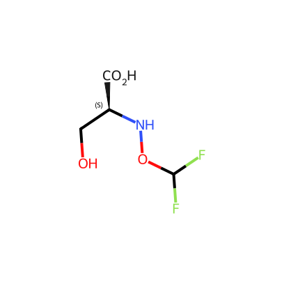 O=C(O)[C@H](CO)NOC(F)F